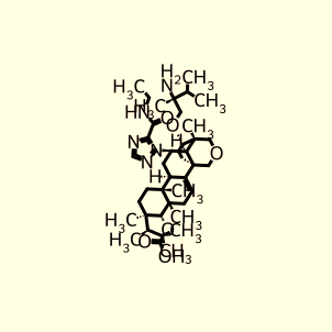 CCNC(=O)c1ncnn1[C@@H]1C[C@@]23COC[C@](C)([C@@H]2CC[C@H]2C3=CC[C@]3(C)[C@H](OC(=O)O)[C@@](C)([C@H](C)C(C)C)CC[C@]23C)[C@H]1OC[C@](C)(N)C(C)C